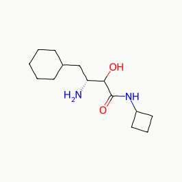 N[C@H](CC1CCCCC1)C(O)C(=O)NC1CCC1